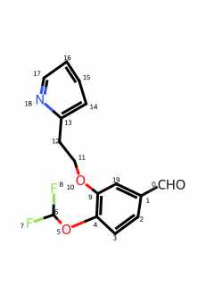 O=Cc1ccc(OC(F)F)c(OCCc2ccccn2)c1